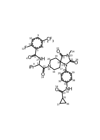 CC(C)C(NC(=O)c1cc(C(F)(F)F)ccc1F)C(=O)N1CCC2(CC1)C(=O)N(C)C(=O)N2c1ccc(NC(=O)C2CC2)cc1